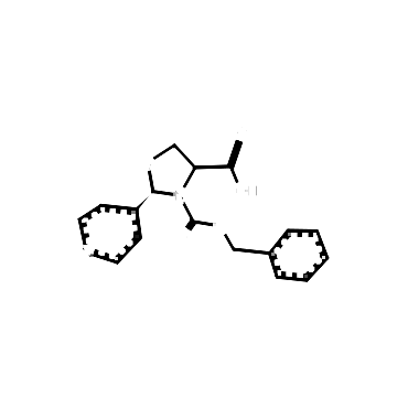 O=C(O)C1CS[C@H](c2ccncc2)N1C(=O)OCc1ccccc1